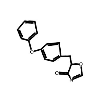 O=C1N=COC1Cc1ccc(Oc2ccccc2)cc1